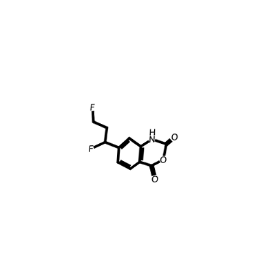 O=c1[nH]c2cc(C(F)CCF)ccc2c(=O)o1